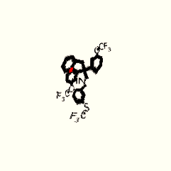 FC(F)(F)Oc1cccc(C(CNCc2cccc(SC(F)(F)F)c2)(Cc2ccccc2)c2cccc(OC(F)(F)F)c2)c1